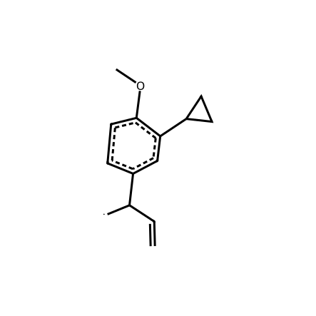 [CH2]C(C=C)c1ccc(OC)c(C2CC2)c1